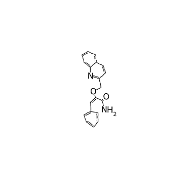 NC(=O)C(=Cc1ccccc1)OCc1ccc2ccccc2n1